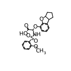 COc1ccccc1S(=O)(=O)NC(Oc1cccc2c1OC1CCCC21)C(=O)O